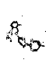 Cc1cnc(-n2ccc(OCc3c(C)cccc3N3CN(C)N=N3)n2)nc1